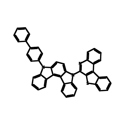 c1ccc(-c2ccc(-n3c4ccccc4c4c5c6ccccc6n(-c6nc7ccccc7c7c6sc6ccccc67)c5ccc43)cc2)cc1